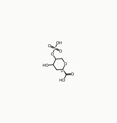 O=C(O)[C@H]1CC(O)C(OS(=O)(=O)O)CO1